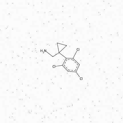 NCC1(c2c(Cl)cc(Cl)cc2Cl)CC1